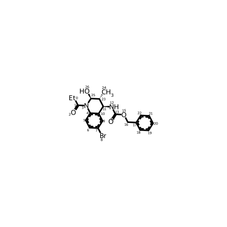 CCC(=O)N1c2ccc(Br)cc2[C@H](NC(=O)OCc2ccccc2)[C@@H](C)[C@@H]1O